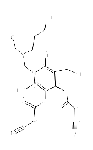 CCCCC(CC)CN1C(C)=C(CC)C(OC(=O)CC#N)C(OC(=O)CC#N)=C1C